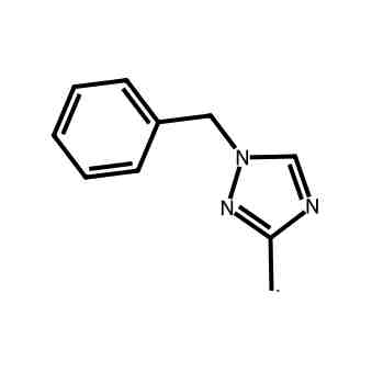 [CH2]c1ncn(Cc2ccccc2)n1